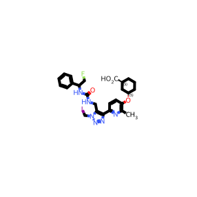 Cc1nc(-c2nnn(CI)c2CNC(=O)NC(CF)c2ccccc2)ccc1O[C@H]1CCC[C@H](C(=O)O)C1